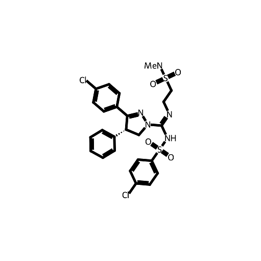 CNS(=O)(=O)CC/N=C(/NS(=O)(=O)c1ccc(Cl)cc1)N1C[C@H](c2ccccc2)C(c2ccc(Cl)cc2)=N1